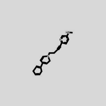 CNc1ccc(C#CCCN2C=CC(C3=CCC=CC3)=CC2)nc1